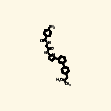 CN(C)Cc1ccc(-c2cccc(-c3csc(NC(=O)CNC(=O)c4ccc(N)cc4)n3)c2)cc1